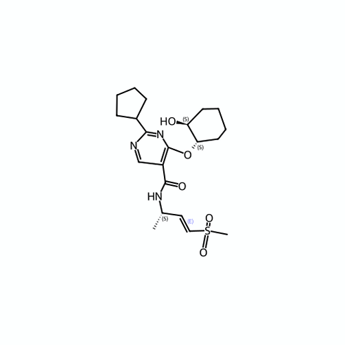 C[C@@H](/C=C/S(C)(=O)=O)NC(=O)c1cnc(C2CCCC2)nc1O[C@H]1CCCC[C@@H]1O